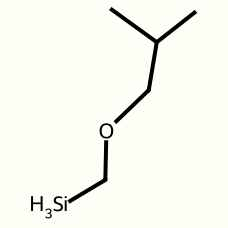 CC(C)COC[SiH3]